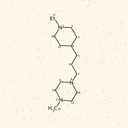 CCN1CCC(CCCN2CCN(C)CC2)CC1